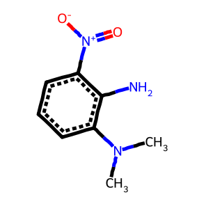 CN(C)c1cccc([N+](=O)[O-])c1N